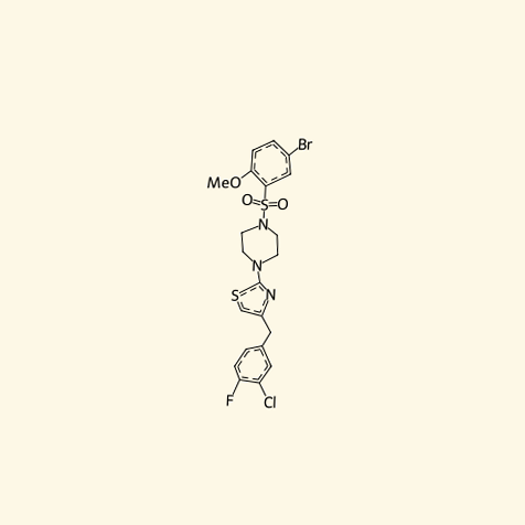 COc1ccc(Br)cc1S(=O)(=O)N1CCN(c2nc(Cc3ccc(F)c(Cl)c3)cs2)CC1